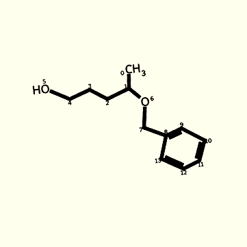 CC(CCCO)OCc1ccccc1